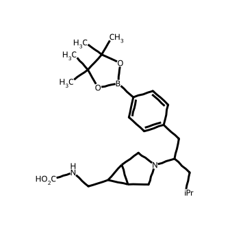 CC(C)CC(Cc1ccc(B2OC(C)(C)C(C)(C)O2)cc1)N1CC2C(CNC(=O)O)C2C1